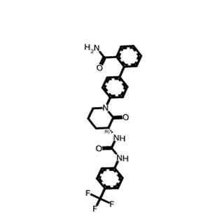 NC(=O)c1ccccc1-c1ccc(N2CCC[C@@H](NC(=O)Nc3ccc(C(F)(F)F)cc3)C2=O)cc1